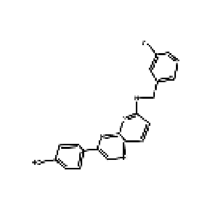 Oc1ccc(-c2cnc3ccc(NCc4cccc(Cl)c4)nc3n2)cc1